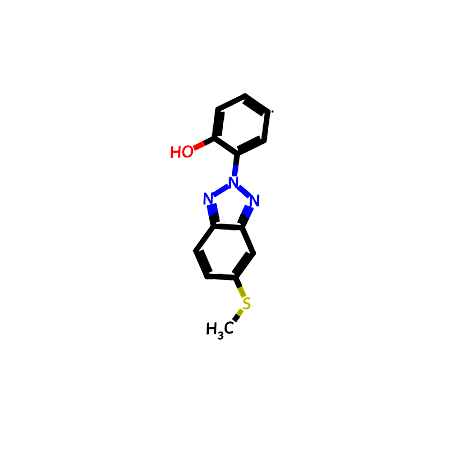 CSc1ccc2nn(-c3c[c]ccc3O)nc2c1